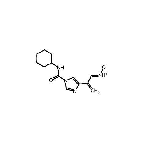 C=C(/C=[NH+]/[O-])c1cn(C(=O)NC2CCCCC2)cn1